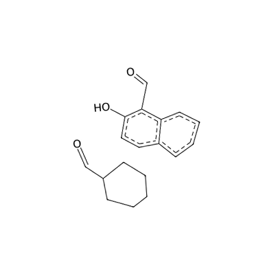 O=CC1CCCCC1.O=Cc1c(O)ccc2ccccc12